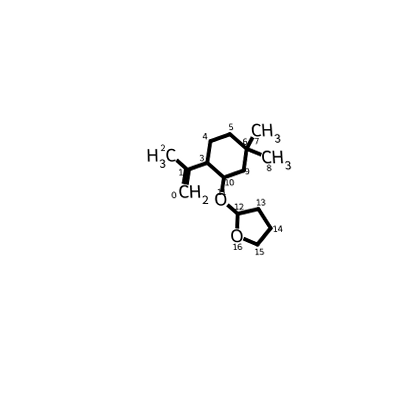 C=C(C)C1CCC(C)(C)CC1OC1CCCO1